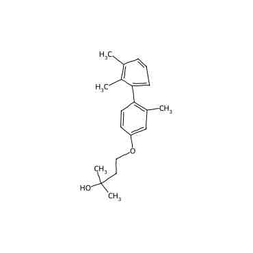 Cc1cc(OCCC(C)(C)O)ccc1-c1cccc(C)c1C